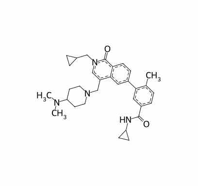 Cc1ccc(C(=O)NC2CC2)cc1-c1ccc2c(=O)n(CC3CC3)cc(CN3CCC(N(C)C)CC3)c2c1